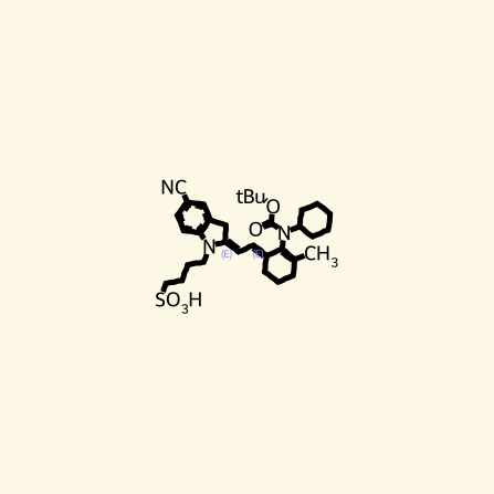 CC1=C(N(C(=O)OC(C)(C)C)C2CCCCC2)/C(=C/C=C2\Cc3cc(C#N)ccc3N2CCCCS(=O)(=O)O)CCC1